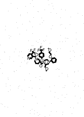 COCCOc1ccccc1N1CCN(C(=O)[C@]2(Oc3ccc(C(F)(F)F)cc3)CCCN(C(=O)c3cnccc3C(F)(F)F)C2)C(COC)C1